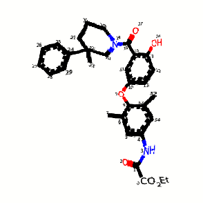 CCOC(=O)C(=O)Nc1cc(C)c(Oc2ccc(O)c(C(=O)N3CCCC(C)(c4ccccc4)C3)c2)c(C)c1